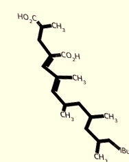 CCC(C)CC(C)CC(C)CC(C)/C=C(C)/C=C(/CC(C)C(=O)O)C(=O)O